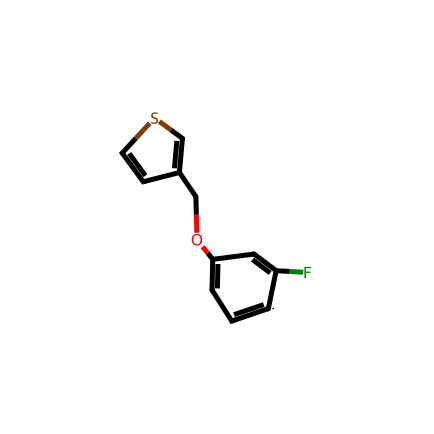 Fc1[c]ccc(OCc2ccsc2)c1